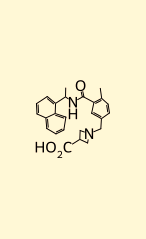 Cc1ccc(CN2CC(C(=O)O)C2)cc1C(=O)NC(C)c1cccc2ccccc12